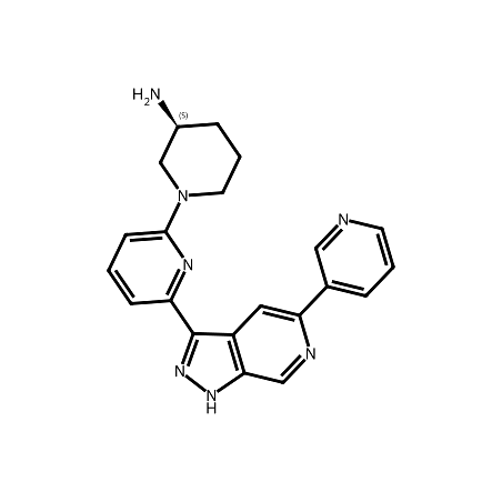 N[C@H]1CCCN(c2cccc(-c3n[nH]c4cnc(-c5cccnc5)cc34)n2)C1